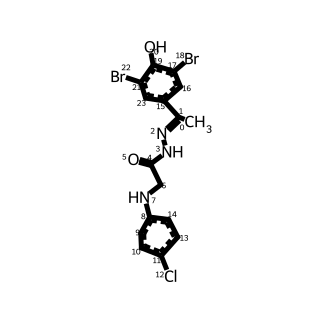 C/C(=N\NC(=O)CNc1ccc(Cl)cc1)c1cc(Br)c(O)c(Br)c1